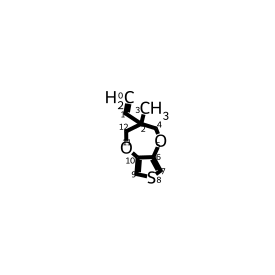 C=CC1(C)COc2cscc2OC1